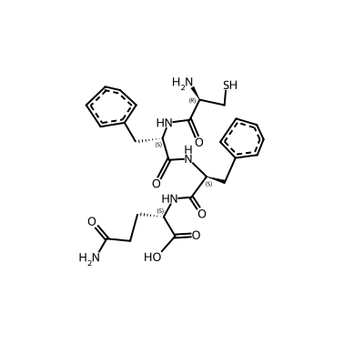 NC(=O)CC[C@H](NC(=O)[C@H](Cc1ccccc1)NC(=O)[C@H](Cc1ccccc1)NC(=O)[C@@H](N)CS)C(=O)O